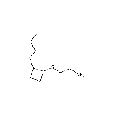 NCCSC1CCC1SCCI